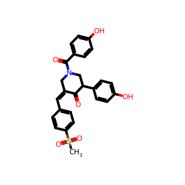 CS(=O)(=O)c1ccc(/C=C2/CN(C(=O)c3ccc(O)cc3)CC(c3ccc(O)cc3)C2=O)cc1